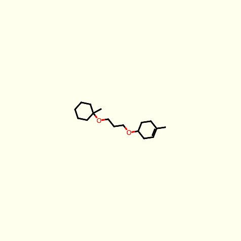 CC1=CCC(OCCCOC2(C)CCCCC2)CC1